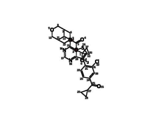 CC1(OC(=O)N2CC3COCC(C2)C3Oc2ncnc3c(-c4ccc(C(=O)C5CC5)cc4Cl)csc23)CC1